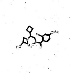 COc1ccc(C(=O)N(C)CC(C2CCC2)N2CC(O)C2)c(F)c1